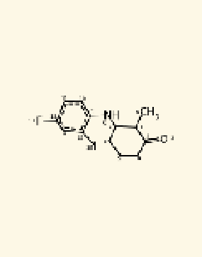 CC1C(=O)CCCC1Nc1ccc(F)cc1I